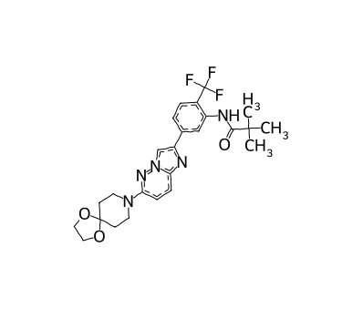 CC(C)(C)C(=O)Nc1cc(-c2cn3nc(N4CCC5(CC4)OCCO5)ccc3n2)ccc1C(F)(F)F